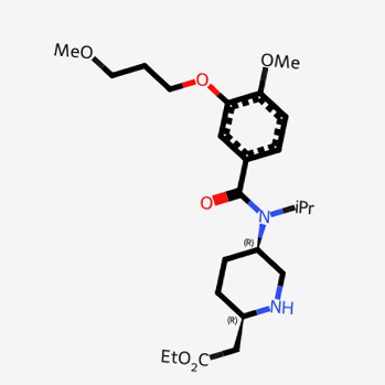 CCOC(=O)C[C@H]1CC[C@@H](N(C(=O)c2ccc(OC)c(OCCCOC)c2)C(C)C)CN1